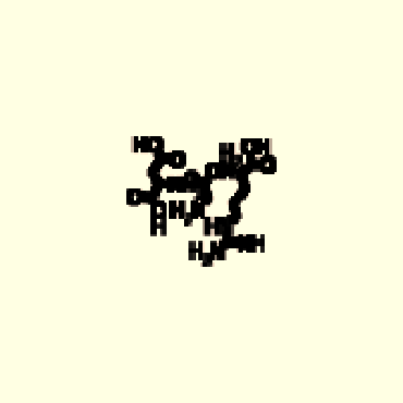 N=C(N)NCCC[C@H](N)C(=O)O.NCC(=O)O.N[C@H](CC(=O)O)C(=O)O